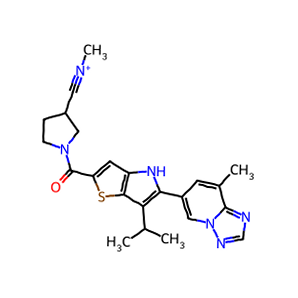 C[N+]#CC1CCN(C(=O)c2cc3[nH]c(-c4cc(C)c5ncnn5c4)c(C(C)C)c3s2)C1